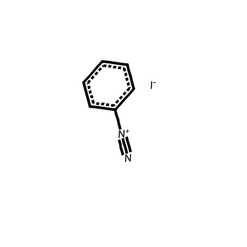 N#[N+]c1ccccc1.[I-]